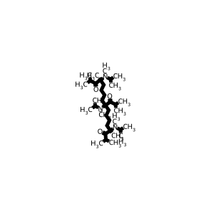 CC(C)C(=O)C(C)(CCCCC(CCCCC(C)(C(=O)C(C)C)N(C)C(C)C)(C(=O)C(C)C)N(C)C(C)C)N(C)C(C)C